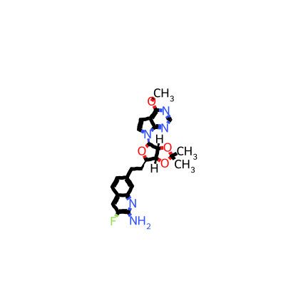 COc1ncnc2c1ccn2[C@@H]1O[C@H](CCc2ccc3cc(F)c(N)nc3c2)[C@H]2OC(C)(C)O[C@H]21